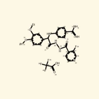 CCOc1cc(C(Nc2ccc(C(=N)N)cc2)C(=O)NNC(=O)c2ccncc2F)ccc1OC(C)C.O=C(O)C(F)(F)F